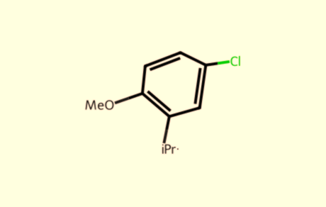 COc1ccc(Cl)cc1[C](C)C